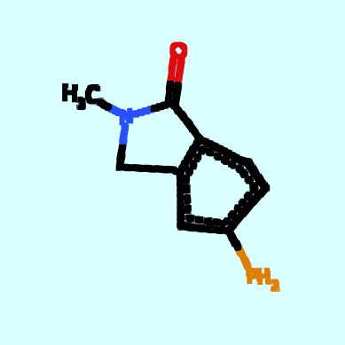 CN1Cc2cc(P)ccc2C1=O